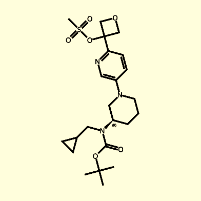 CC(C)(C)OC(=O)N(CC1CC1)[C@@H]1CCCN(c2ccc(C3(OS(C)(=O)=O)COC3)nc2)C1